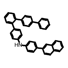 c1ccc(-c2ccc(-c3ccccc3-c3ccc(Nc4ccc(-c5ccc6ccccc6c5)cc4)cc3)cc2)cc1